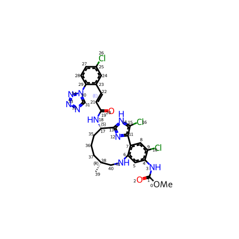 COC(=O)Nc1cc2c(cc1Cl)-c1nc([nH]c1Cl)[C@@H](NC(=O)/C=C/c1cc(Cl)ccc1-n1cnnn1)CCC[C@@H](C)CN2